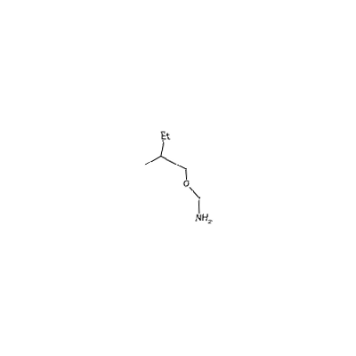 CCC(C)COCN